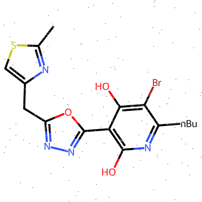 CCCCc1nc(O)c(-c2nnc(Cc3csc(C)n3)o2)c(O)c1Br